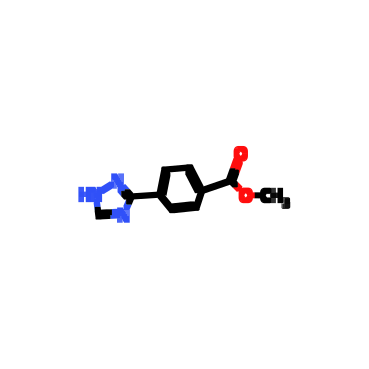 COC(=O)c1ccc(-c2nc[nH]n2)cc1